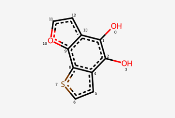 Oc1c(O)c2ccsc2c2occc12